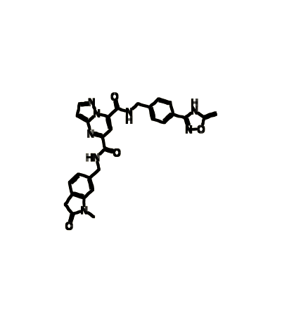 C=C1NC(c2ccc(CNC(=O)c3cc(C(=O)NCc4ccc5c(c4)N(C)C(=O)C5)nc4ccnn34)cc2)=NO1